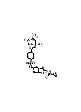 CN(C)CC(C)(C)CNc1ccc(S(=O)(=O)Oc2ccc3[nH]c(NC(=O)C4CC4)nc3c2)cc1